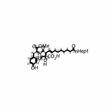 CCCCCCCC(=O)CCCCCC/C=C/[C@H](C(=O)N[C@@H](Cc1ccc(O)cc1)C(=O)OC)[C@@](O)(CC(C)C)C(=O)O